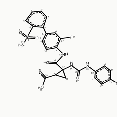 CS(=O)(=O)c1ccccc1-c1ccc(NC(=O)C2(NC(=O)Nc3ccc(Cl)cc3)CC2C(=O)O)c(F)c1